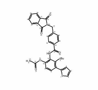 CC(C)(C)c1c(-c2cccs2)ccc(OC(N)=O)c1NC(=O)c1ccc(CN2C(=O)c3ccccc3C2=O)cc1